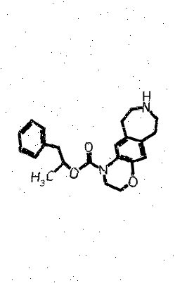 CC(Cc1ccccc1)OC(=O)N1CCOc2cc3c(cc21)CCNCC3